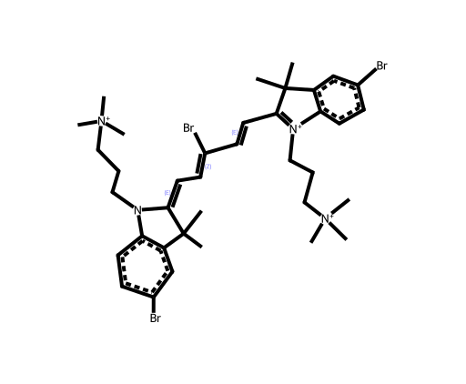 CC1(C)C(/C=C/C(Br)=C/C=C2/N(CCC[N+](C)(C)C)c3ccc(Br)cc3C2(C)C)=[N+](CCC[N+](C)(C)C)c2ccc(Br)cc21